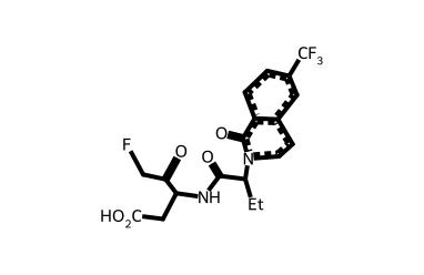 CCC(C(=O)NC(CC(=O)O)C(=O)CF)n1ccc2cc(C(F)(F)F)ccc2c1=O